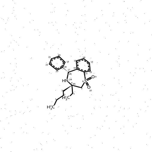 CCCC[C@]1(CC)CS(=O)(=O)c2ccccc2[C@@H](c2ccccc2)N1